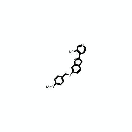 COc1ccc(COc2ccc3c(c2)N=C(c2ccncc2C#N)C3)cc1